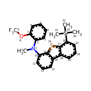 CN(c1ccccc1OC(F)(F)F)c1cccc2c1sc1c([Si](C)(C)C)cccc12